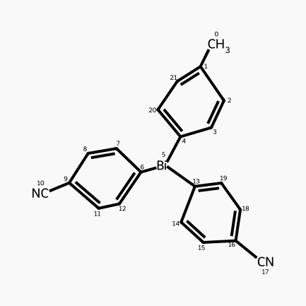 Cc1cc[c]([Bi]([c]2ccc(C#N)cc2)[c]2ccc(C#N)cc2)cc1